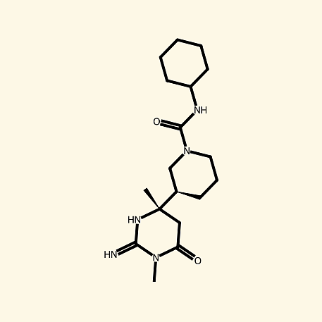 CN1C(=N)N[C@](C)([C@@H]2CCCN(C(=O)NC3CCCCC3)C2)CC1=O